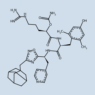 Cc1cc(O)cc(C)c1C[C@H](NC(=O)[C@@H](CCCNC(=N)N)OC(N)=O)C(=O)N[C@@H](Cc1ccncc1)c1nc(CC23CC4CC(CC(C4)C2)C3)no1